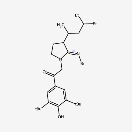 CCC(CC)CC(C)C1CCN(CC(=O)c2cc(C(C)(C)C)c(O)c(C(C)(C)C)c2)/C1=N\Br